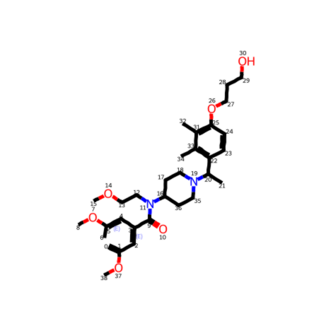 C=C(/C=C(\C=C(/C)OC)C(=O)N(CCOC)C1CCN(C(C)c2ccc(OCCCO)c(C)c2C)CC1)OC